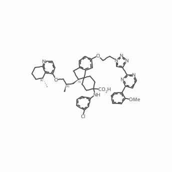 COc1ccccc1-c1ccnc(-c2cn(CCOc3ccc4c(c3)C3(CCC(Nc5cccc(Cl)c5)(C(=O)O)CC3)[C@@H](C[C@@H](C)COc3ccnc5c3[C@H](C)CCC5)C4)nn2)n1